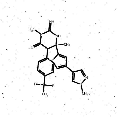 CN1C(=N)N[C@](C)(c2cc(-c3cnn(C)c3)cs2)C(c2ccc(C(C)(F)F)cc2)C1=O